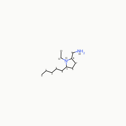 CCCCCC1CCC(CN)N1CC